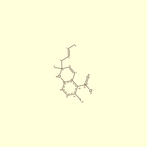 CC=CCC1(C)C=Cc2c(ccc(I)c2[N+](=O)[O-])O1